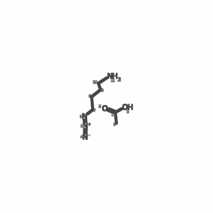 CC(=O)O.[N-]=[N+]=NCCCCN